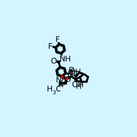 Cn1cc(C(O)C(O)[C@@]2(O)C3CC[C@H]2C[C@H](S(=O)(=O)c2cc(C(=O)Nc4ccc(F)c(F)c4)ccc2Cl)C3)cn1